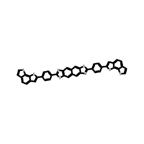 c1cc2ccc3cc(-c4ccc(-c5nc6cc7cc8sc(-c9ccc(-c%10cc%11ccc%12ccsc%12c%11s%10)cc9)nc8cc7cc6s5)cc4)sc3c2s1